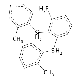 Cc1ccccc1[SiH2]c1cccc(P)c1[SiH2]c1ccccc1C